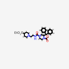 CCOC(=O)C1CCN(CCNC(=O)N2CCN3C(=O)OC(c4ccccc4)(c4ccccc4)C3C2)CC1